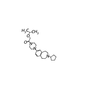 CC(C)OCC(=O)N1CCN(c2ccc3c(c2)CCN(C2CCCC2)CC3)CC1